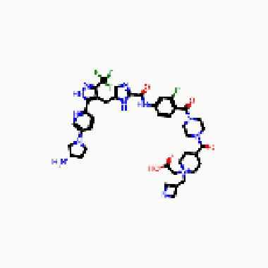 N[C@H]1CCN(c2ccc(-c3[nH]nc(C(F)(F)F)c3Cc3cnc(C(=O)Nc4ccc(C(=O)N5CCN(C(=O)C6CC[N+](CC(=O)O)(CC7CNC7)CC6)CC5)c(Cl)c4)[nH]3)nc2)C1